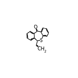 C=CC1Sc2ccccc2C(=O)c2ccccc21